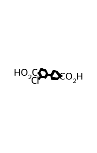 O=C(O)c1ccc(-c2ccc(C(=O)O)c(Cl)c2)cc1